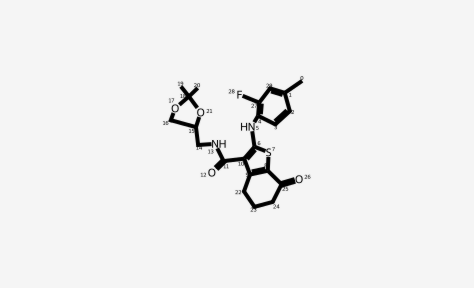 Cc1ccc(Nc2sc3c(c2C(=O)NCC2COC(C)(C)O2)CCCC3=O)c(F)c1